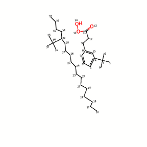 CC(C)(C)c1cccc(CCC(=O)OO)c1.CCCCCCCCCCCCCC(CCCC)C(C)(C)C